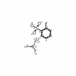 Cc1ccccc1S(=O)(=O)[O-].FB(F)F.[Li+]